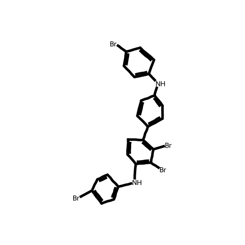 Brc1ccc(Nc2ccc(-c3ccc(Nc4ccc(Br)cc4)c(Br)c3Br)cc2)cc1